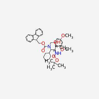 COc1cc(CN(C(=O)OCC2c3ccccc3-c3ccccc32)C(C2CCCCC2)[C@H](NC(=O)OC(C)(C)C)[C@@H](C)O)cc(OC)c1